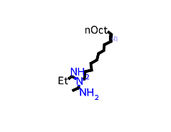 CCCCCCCC/C=C\CCCCCCCCN(C(C)N)C(N)CC